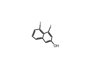 Oc1cc(I)c2c(I)cccc2c1